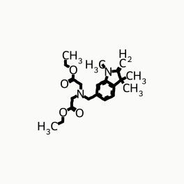 C=C1N(C)c2cc(CN(CC(=O)OCC)CC(=O)OCC)ccc2C1(C)C